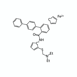 CCN(CC)CSc1ccc[c-]1NC(=O)c1ccccc1-c1ccc(-c2ccccc2)cc1.[Fe+2].c1cc[cH-]c1